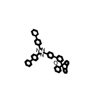 C1=CCC(c2ccc(-c3nc(-c4ccc(-c5ccccc5)cc4)nc(-c4ccc(-c5cccc6c5Oc5ccccc5C65c6ccccc6-c6ccccc65)cc4)n3)cc2)C=C1